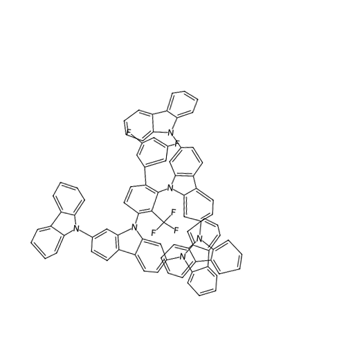 Fc1cc(F)cc(-c2ccc(-n3c4cc(-n5c6ccccc6c6ccccc65)ccc4c4ccc(-n5c6ccccc6c6ccccc65)cc43)c(C(F)(F)F)c2-n2c3cc(-n4c5ccccc5c5ccccc54)ccc3c3ccc(-n4c5ccccc5c5ccccc54)cc32)c1